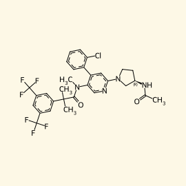 CC(=O)N[C@@H]1CCN(c2cc(-c3ccccc3Cl)c(N(C)C(=O)C(C)(C)c3cc(C(F)(F)F)cc(C(F)(F)F)c3)cn2)C1